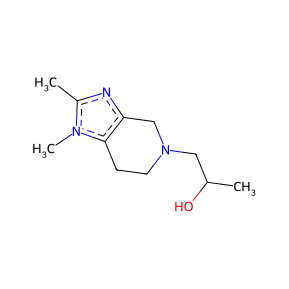 Cc1nc2c(n1C)CCN(CC(C)O)C2